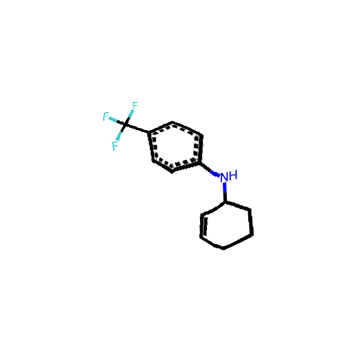 FC(F)(F)c1ccc(NC2C=CCCC2)cc1